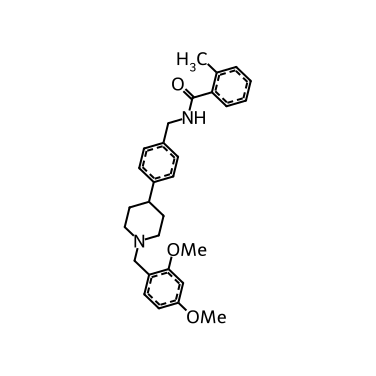 COc1ccc(CN2CCC(c3ccc(CNC(=O)c4ccccc4C)cc3)CC2)c(OC)c1